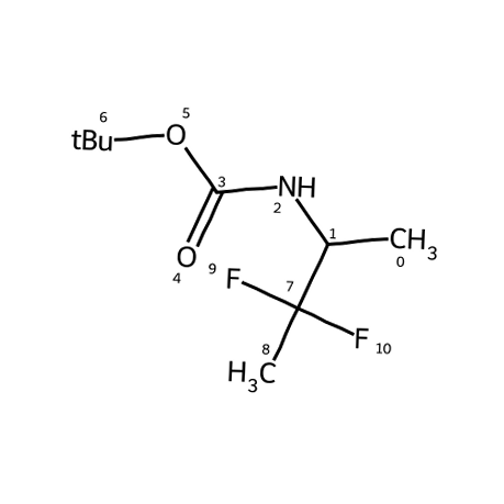 CC(NC(=O)OC(C)(C)C)C(C)(F)F